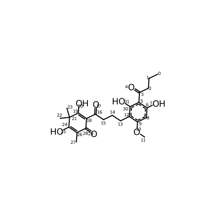 CCCC(=O)c1c(O)cc(OC)c(CCCC(=O)C2=C(O)C(C)(C)C(O)=C(C)C2=O)c1O